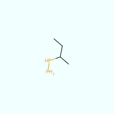 CCC(C)PP